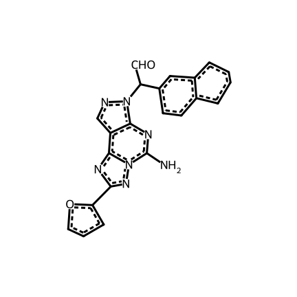 Nc1nc2c(cnn2C(C=O)c2ccc3ccccc3c2)c2nc(-c3ccco3)nn12